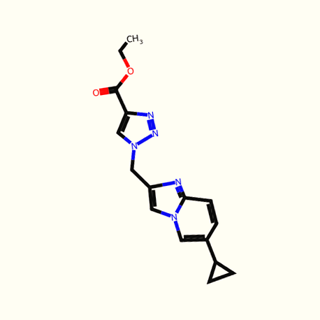 CCOC(=O)c1cn(Cc2cn3cc(C4CC4)ccc3n2)nn1